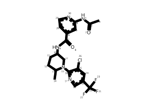 CC(=O)Nc1cc(C(=O)NC2CCC(C)N(c3ncc(C(F)(F)F)cc3Cl)C2)ccn1